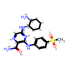 CS(=O)(=O)c1ccc(Nc2nc(N[C@@H]3CCCC[C@@H]3N)cnc2C(N)=O)cc1